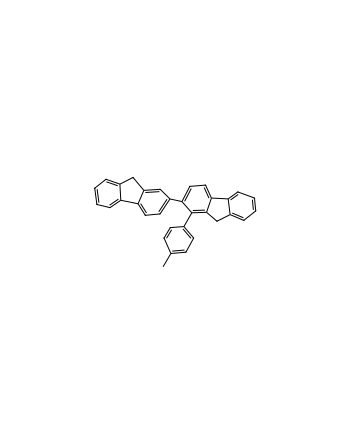 Cc1ccc(-c2c(-c3ccc4c(c3)Cc3ccccc3-4)ccc3c2Cc2ccccc2-3)cc1